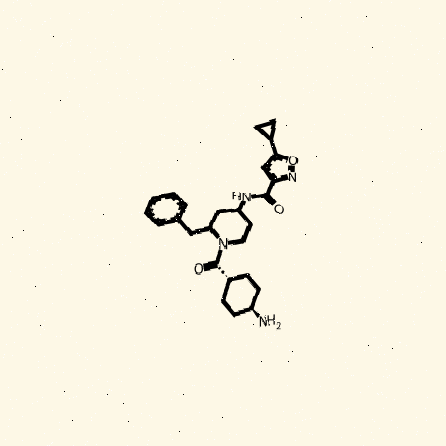 N[C@H]1CC[C@H](C(=O)N2CCC(NC(=O)c3cc(C4CC4)on3)CC2Cc2ccccc2)CC1